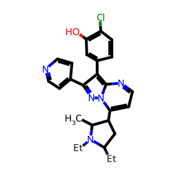 CCC1CC(c2ccnc3c(-c4ccc(Cl)c(O)c4)c(-c4ccncc4)nn23)C(C)N1CC